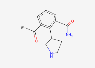 CC(C)C(=O)c1cccc(C(N)=O)c1C1CCNC1